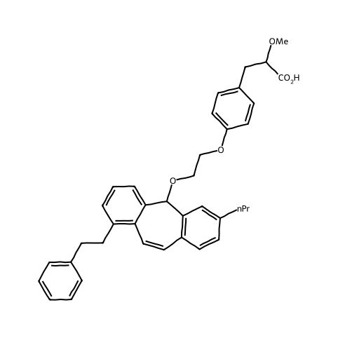 CCCc1ccc2c(c1)C(OCCOc1ccc(CC(OC)C(=O)O)cc1)c1cccc(CCc3ccccc3)c1C=C2